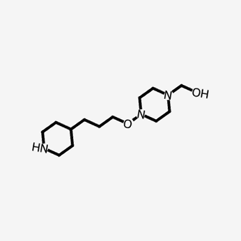 OCN1CCN(OCCCC2CCNCC2)CC1